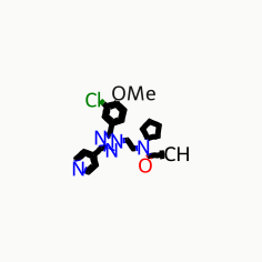 C#CC(=O)N(CCn1nc(-c2ccncc2)nc1-c1ccc(OC)c(Cl)c1)C1CCCC1